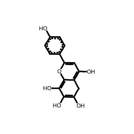 OC1=C2CC(O)=C(O)C(O)=C2OC(c2ccc(O)cc2)=C1